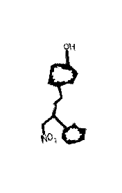 O=[N+]([O-])CC(CCc1ccc(O)cc1)c1ccccc1